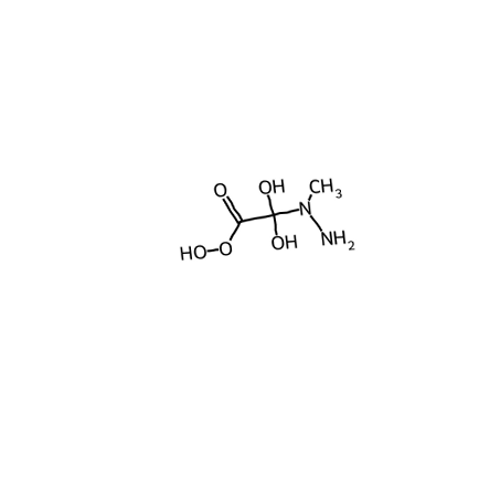 CN(N)C(O)(O)C(=O)OO